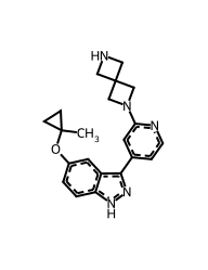 CC1(Oc2ccc3[nH]nc(-c4ccnc(N5CC6(CNC6)C5)c4)c3c2)CC1